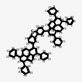 c1ccc(-c2cc(-c3ccccc3)c3ccc4c(-c5ccc6sc7ccc(-c8cc(-c9ccccc9)c9ccc%10c(-c%11ccccc%11)cc(-c%11ccccc%11)c%11ccc8c9c%10%11)cc7c6c5)cc(-c5ccccc5)c5ccc2c3c54)cc1